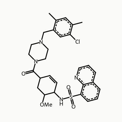 COC1CC(C(=O)N2CCN(Cc3cc(Cl)c(C)cc3C)CC2)C=CC1NS(=O)(=O)c1cccc2cccnc12